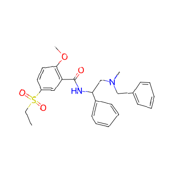 CCS(=O)(=O)c1ccc(OC)c(C(=O)NC(CN(C)Cc2ccccc2)c2ccccc2)c1